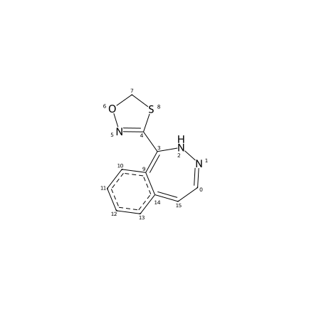 C1=NNC(C2=NOCS2)=c2ccccc2=C1